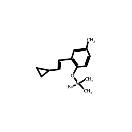 Cc1ccc(O[Si](C)(C)C(C)(C)C)c(/C=C/C2CC2)c1